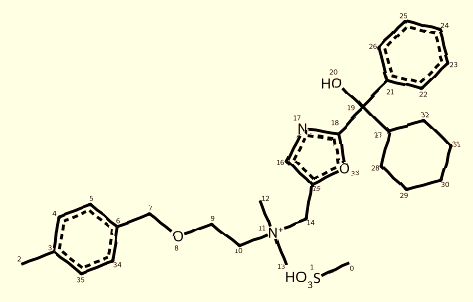 CS(=O)(=O)O.Cc1ccc(COCC[N+](C)(C)Cc2cnc(C(O)(c3ccccc3)C3CCCCC3)o2)cc1